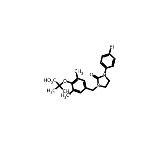 CCc1ccc(N2CCN(Cc3cc(C)c(OC(C)(C)C(=O)O)c(C)c3)C2=O)cc1